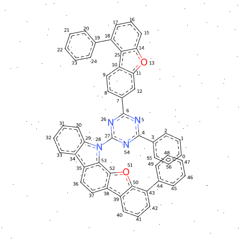 c1ccc(-c2nc(-c3ccc4c(c3)oc3cccc(-c5ccccc5)c34)nc(-n3c4ccccc4c4ccc5c6cccc(-c7ccccc7)c6oc5c43)n2)cc1